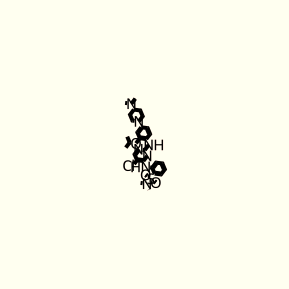 CC(C)Oc1cc(N2CCC(N(C)C)CC2)ccc1Nc1ncc(Cl)c(Nc2ccccc2S(=O)(=O)N(C)C)n1